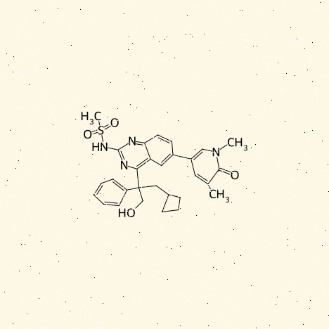 Cc1cc(-c2ccc3nc(NS(C)(=O)=O)nc(C(CO)(CC4CCC4)c4ccccc4)c3c2)cn(C)c1=O